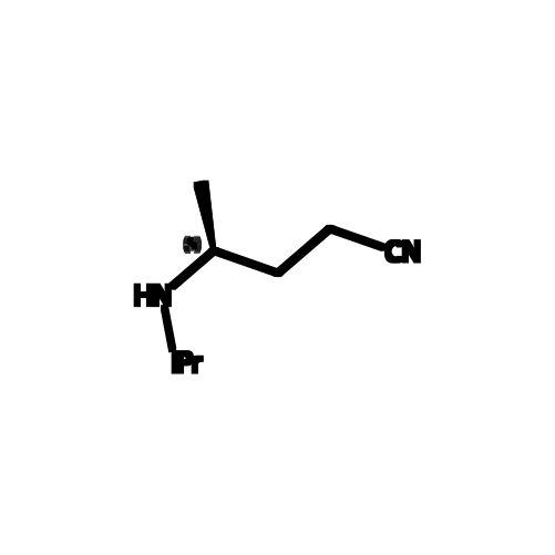 CC(C)N[C@@H](C)CCC#N